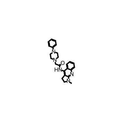 CN1CCc2c1nc1ccccc1c2NC(=O)CN1CCN(c2ccccc2)CC1